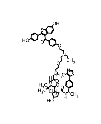 CCN(CCOCCOCC(=O)N[C@H](C(=O)N1C[C@H](O)C[C@H]1C(=O)N[C@@H](C)c1ccc(-c2scnc2C)cc1)C(C)(C)C)CCOc1ccc(C(=O)c2c(-c3ccc(O)cc3)sc3cc(O)ccc23)cc1